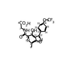 Cc1nc(C(=O)NCC(=O)O)c(O)c2c(-c3ccc(OC(F)(F)F)cc3)noc12